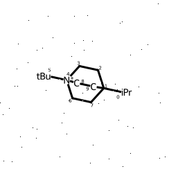 CC(C)C12CC[N+](C(C)(C)C)(CC1)CC2